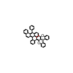 c1ccc(-c2c3ccccc3c(-c3ccccc3-c3ccc4c5c3Oc3ccccc3B5c3ccccc3O4)c3ccc4ccccc4c23)cc1